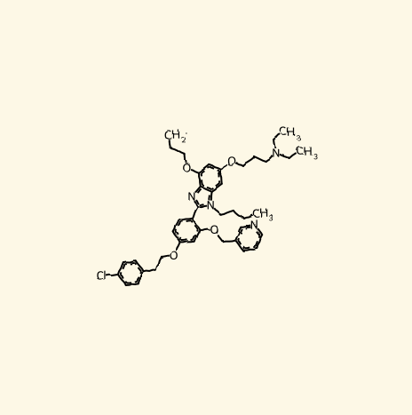 [CH2]CCOc1cc(OCCCN(CC)CC)cc2c1nc(-c1ccc(OCCc3ccc(Cl)cc3)cc1OCc1cccnc1)n2CCCC